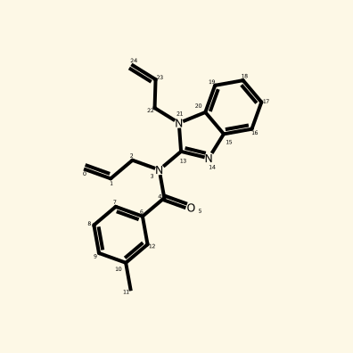 C=CCN(C(=O)c1cccc(C)c1)c1nc2ccccc2n1CC=C